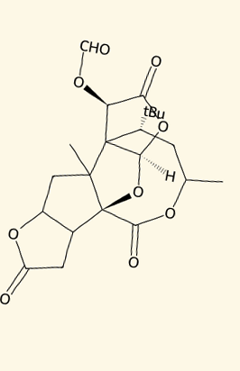 CC1C[C@@H](C(C)(C)C)C23[C@@H](OC(=O)[C@@H]2OC=O)O[C@@]2(C(=O)O1)C1CC(=O)OC1CC32C